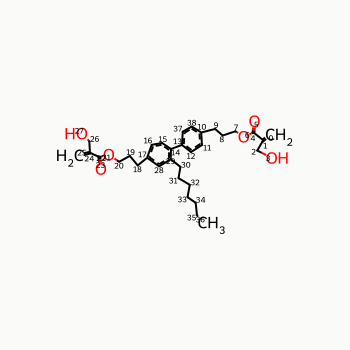 C=C(CO)C(=O)OCCCc1ccc(-c2ccc(CCCOC(=O)C(=C)CO)cc2CCCCCCC)cc1